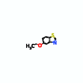 CCOc1ccc2scnc2c1